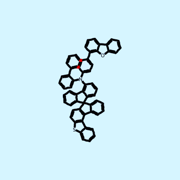 c1ccc(-c2ccccc2N(c2ccc(-c3cccc4c3oc3ccccc34)cc2)c2cccc3c2-c2ccccc2C32c3ccccc3-c3c2ccc2sc4ccccc4c32)cc1